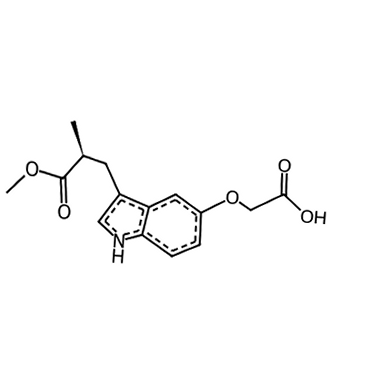 COC(=O)[C@@H](C)Cc1c[nH]c2ccc(OCC(=O)O)cc12